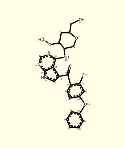 COC1CC(CO)OCC1Nc1ncnc2[nH]cc(C(=O)c3ccc(Oc4ccccc4)cc3F)c12